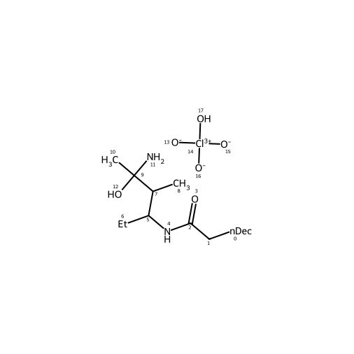 CCCCCCCCCCCC(=O)NC(CC)C(C)C(C)(N)O.[O-][Cl+3]([O-])([O-])O